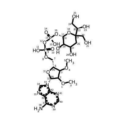 COC1C(OC)[C@@H](COP(=O)(O)OP(=O)(O)O[C@@H]2OC(CO)([C@H](O)CO)CC(O)C2O)O[C@H]1n1cnc2c(N)ncnc21